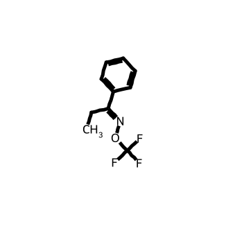 CCC(=NOC(F)(F)F)c1ccccc1